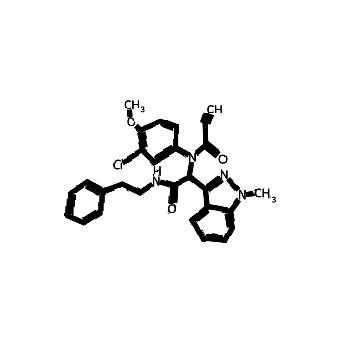 C#CC(=O)N(c1ccc(OC)c(Cl)c1)C(C(=O)NCCc1ccccc1)c1nn(C)c2ccccc12